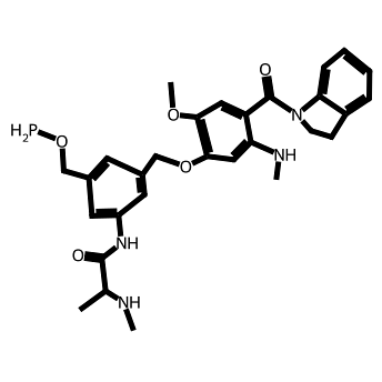 CNc1cc(OCc2cc(COP)cc(NC(=O)C(C)NC)c2)c(OC)cc1C(=O)N1CCc2ccccc21